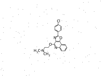 CN(C)CCOc1nc2ccccc2c2oc(-c3ccc(Cl)cc3)nc12